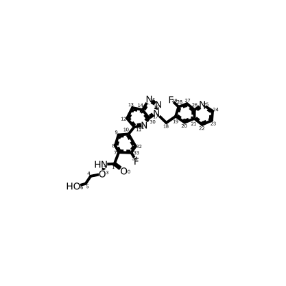 O=C(NOCCO)c1ccc(-c2ccc3nnn(Cc4cc5cccnc5cc4F)c3n2)cc1F